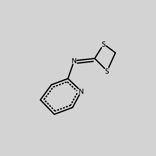 c1ccc(N=C2SCS2)nc1